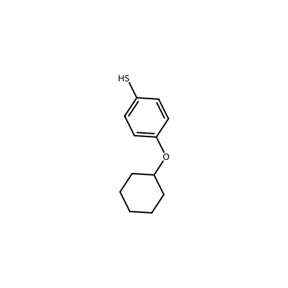 Sc1ccc(OC2CCCCC2)cc1